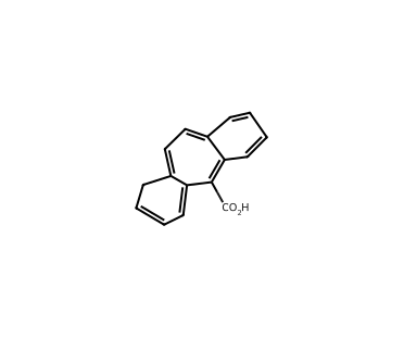 O=C(O)C1=c2ccccc2=CC=C2CC=CC=C21